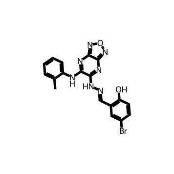 Cc1ccccc1Nc1nc2nonc2nc1NN=Cc1cc(Br)ccc1O